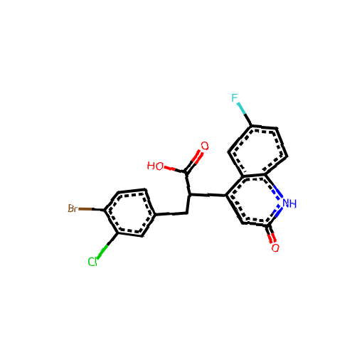 O=C(O)C(Cc1ccc(Br)c(Cl)c1)c1cc(=O)[nH]c2ccc(F)cc12